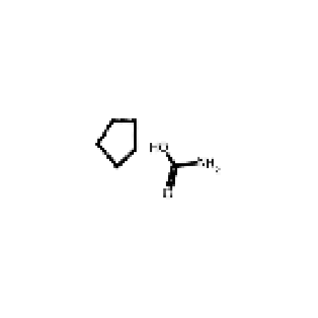 C1CCCC1.NC(=O)O